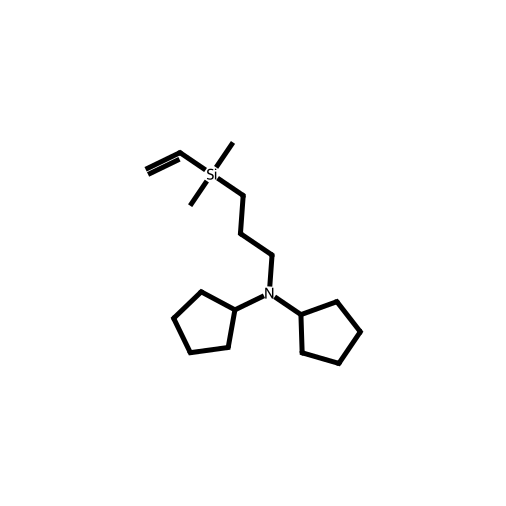 C=C[Si](C)(C)CCCN(C1CCCC1)C1CCCC1